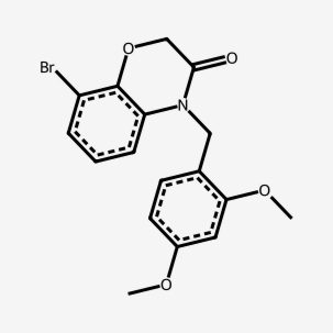 COc1ccc(CN2C(=O)COc3c(Br)cccc32)c(OC)c1